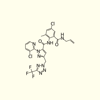 C=CCNC(=O)c1cc(Cl)cc(C)c1NC(=O)c1cc(Cn2nnc(C(F)(F)F)n2)nn1-c1ncccc1Cl